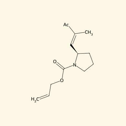 C=CCOC(=O)N1CCC[C@@H]1/C=C(\C)C(C)=O